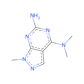 CN(C)c1nc(N)nc2c1cnn2C